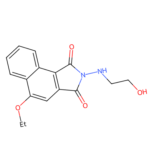 CCOc1cc2c(c3ccccc13)C(=O)N(NCCO)C2=O